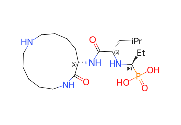 CC[C@H](N[C@@H](CC(C)C)C(=O)N[C@H]1CCCCNCCCCCNC1=O)P(=O)(O)O